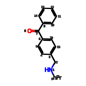 CCCNCc1ccc(C(=O)c2ccccc2)cc1